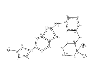 Cc1noc(-c2ccc3nc(Nc4cc(CN5CCNCC5(C)C)ccn4)[nH]c3c2)n1